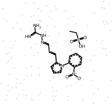 CCS(=O)(=O)O.N=C(N)N/N=C/C=C/c1cccn1-c1ccccc1[N+](=O)[O-]